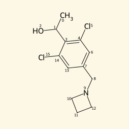 CC(O)c1c(Cl)cc(CN2CCC2)cc1Cl